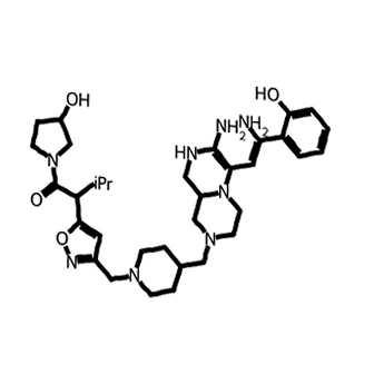 CC(C)C(C(=O)N1CCC(O)C1)c1cc(CN2CCC(CN3CCN4C(/C=C(\N)c5ccccc5O)=C(N)NCC4C3)CC2)no1